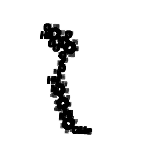 COc1ccc2nc(-c3ccc(-c4ccc(NCCOCCOc5cccc6c5C(=O)N(C5CCC(=O)NC5=O)C6=O)nc4)cc3)sc2c1